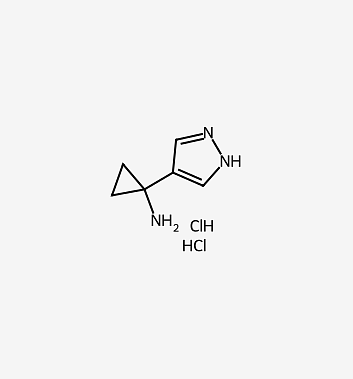 Cl.Cl.NC1(c2cn[nH]c2)CC1